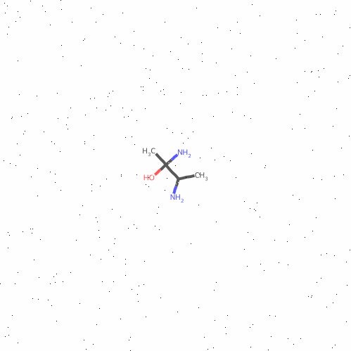 CC(N)C(C)(N)O